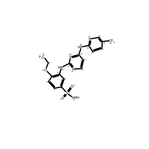 CNS(=O)(=O)c1ccc(OCC(F)(F)F)c(Nc2nccc(Nc3ccc(C(F)(F)F)cn3)n2)c1